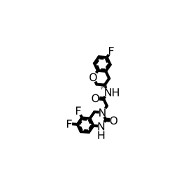 O=C(CN1Cc2c(ccc(F)c2F)NC1=O)N[C@H]1COc2ccc(F)cc2C1